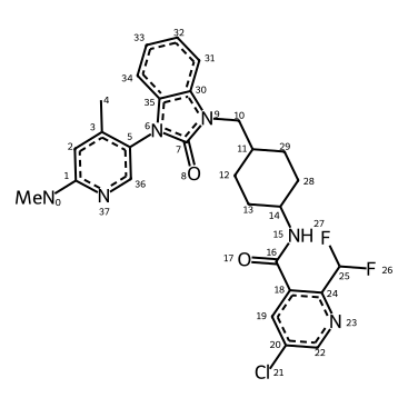 CNc1cc(C)c(-n2c(=O)n(CC3CCC(NC(=O)c4cc(Cl)cnc4C(F)F)CC3)c3ccccc32)cn1